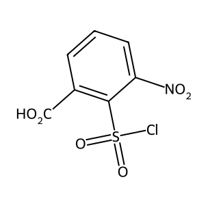 O=C(O)c1cccc([N+](=O)[O-])c1S(=O)(=O)Cl